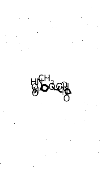 CNc1cc(OCC(O)CN2C(=O)CCC2=O)ccc1[N+](=O)[O-]